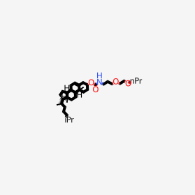 CCCOCCOCCCNC(=O)OC1CC[C@@]2(C)C(=CC[C@H]3[C@@H]4CC[C@H]([C@H](C)CCCC(C)C)[C@@]4(C)CC[C@@H]32)C1